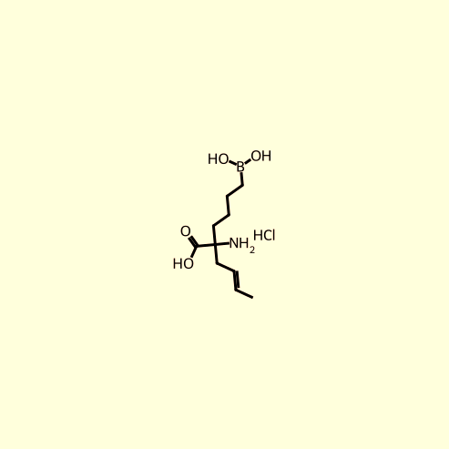 CC=CCC(N)(CCCCB(O)O)C(=O)O.Cl